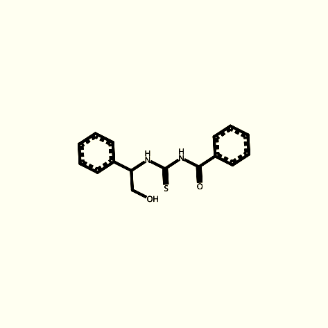 O=C(NC(=S)NC(CO)c1ccccc1)c1ccccc1